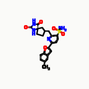 Cc1ccc2oc(-c3ccc(S(N)(=O)=O)c(CC4CCC5(C4)NC(=O)NC5=O)n3)cc2c1